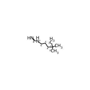 CC(C)(C)CCCNC=N